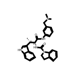 C[C@@H](c1c[nH]c2ccccc12)[C@@H](NC(=O)N1CCc2ccccc21)C(=O)Nc1cccc(CN(C)C)c1